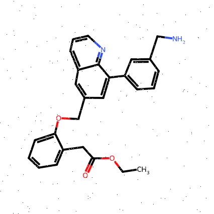 CCOC(=O)Cc1ccccc1OCc1cc(-c2cccc(CN)c2)c2ncccc2c1